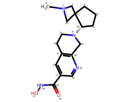 CN1CC2(CCC[C@@H]2N2CCc3cc(C(=O)NO)cnc3C2)C1